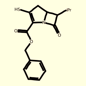 CC(C)C1C(=O)N2C(C(=O)OCc3ccccc3)=C(S)CC12